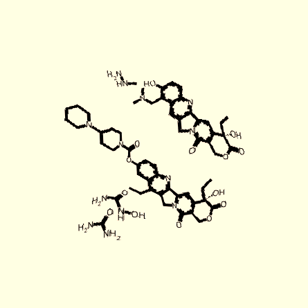 CC[C@@]1(O)C(=O)OCc2c1cc1n(c2=O)Cc2cc3c(CN(C)C)c(O)ccc3nc2-1.CCc1c2c(nc3ccc(OC(=O)N4CCC(N5CCCCC5)CC4)cc13)-c1cc3c(c(=O)n1C2)COC(=O)[C@]3(O)CC.CNN.NC(=O)NO.NC(N)=O